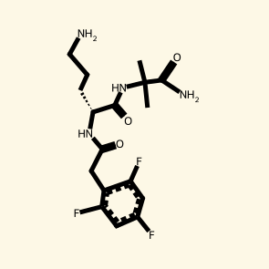 CC(C)(NC(=O)[C@@H](CCCN)NC(=O)Cc1c(F)cc(F)cc1F)C(N)=O